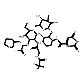 CC1O[C@@H](OC2C(NC(=O)c3cc(=O)[nH]c(=O)[nH]3)CCC[C@H]2O[C@@H]2OC(CO)[C@H](O)C(O[C@@H](CC3CCCCC3)C(=O)O)C2NC(=O)CNC(=O)C(F)(F)F)C(O)C(O)[C@@H]1O